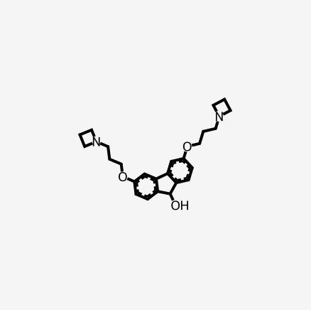 OC1c2ccc(OCCCN3CCC3)cc2-c2cc(OCCCN3CCC3)ccc21